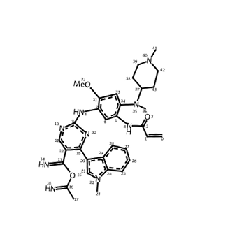 C=CC(=O)Nc1cc(Nc2ncc(C(=N)OC(C)=N)c(-c3cn(C)c4ccccc34)n2)c(OC)cc1N(C)C1CCN(C)CC1